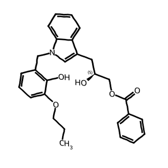 CCCOc1cccc(Cn2cc(C[C@H](O)COC(=O)c3ccccc3)c3ccccc32)c1O